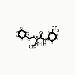 O=C(Nc1cccc(C(F)(F)F)c1)[C@H](CCc1ccccc1)NCl